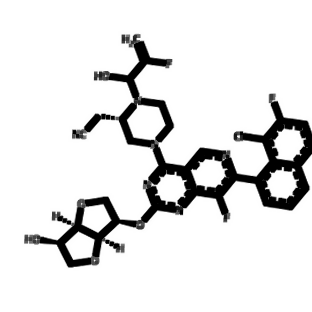 C=C(F)C(O)N1CCN(c2nc(O[C@@H]3CO[C@H]4[C@@H]3OC[C@H]4O)nc3c(F)c(-c4cccc5ccc(F)c(Cl)c45)ncc23)C[C@@H]1CC#N